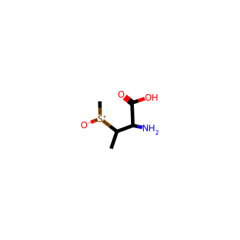 CC(C(N)C(=O)O)[S+](C)[O-]